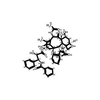 CC[C@@]1(C)C2=C(C)[C@@H](OC(=O)[C@H](O)[C@@H](NC(=O)c3ccccc3)c3ccccc3)C[C@@]1(O)[C@@H](C(=O)c1ccccc1)[C@@H]1[C@]3(OC(C)=O)CO[C@@H]3C[C@H](O)[C@@]1(C)C(=O)[C@@H]2OC(C)=O